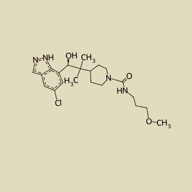 COCCCNC(=O)N1CCC(C(C)(C)[C@H](O)c2cc(Cl)cc3cn[nH]c23)CC1